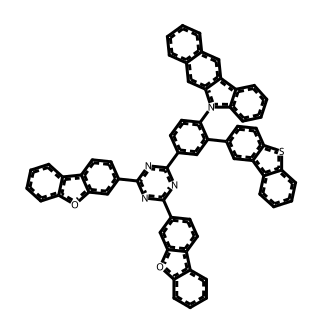 c1ccc2cc3c(cc2c1)c1ccccc1n3-c1ccc(-c2nc(-c3ccc4c(c3)oc3ccccc34)nc(-c3ccc4c(c3)oc3ccccc34)n2)cc1-c1ccc2sc3ccccc3c2c1